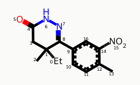 CCC1(C)CC(=O)NN=C1c1ccc(C)c([N+](=O)[O-])c1